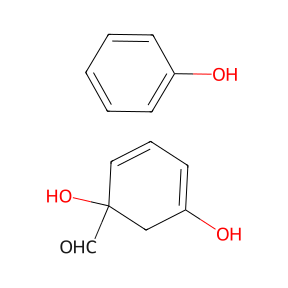 O=CC1(O)C=CC=C(O)C1.Oc1ccccc1